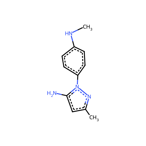 CNc1ccc(-n2nc(C)cc2N)cc1